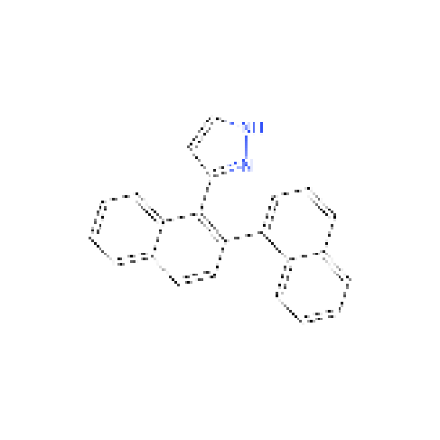 c1ccc2c(-c3ccc4ccccc4c3-c3cc[nH]n3)cccc2c1